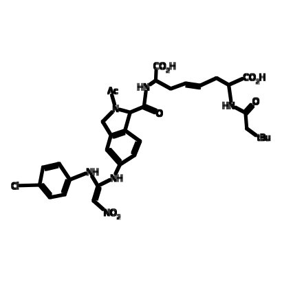 CC(=O)N1Cc2cc(N/C(=C\[N+](=O)[O-])Nc3ccc(Cl)cc3)ccc2C1C(=O)NC(C/C=C/CC(NC(=O)CC(C)(C)C)C(=O)O)C(=O)O